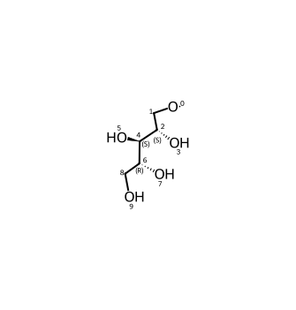 [O]C[C@H](O)[C@H](O)[C@H](O)CO